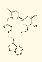 OC[C@H]1O[C@@H](c2ccc(Cl)c(Cc3ccc(OCC4OCc5ccccc54)cc3)c2)C[C@@H](O)[C@@H]1O